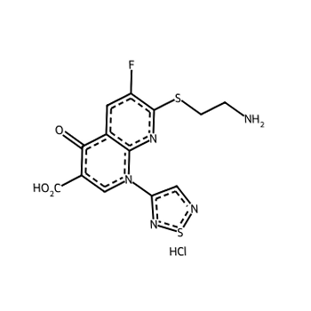 Cl.NCCSc1nc2c(cc1F)c(=O)c(C(=O)O)cn2-c1cnsn1